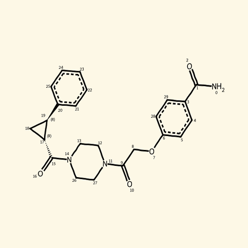 NC(=O)c1ccc(OCC(=O)N2CCN(C(=O)[C@@H]3C[C@H]3c3ccccc3)CC2)cc1